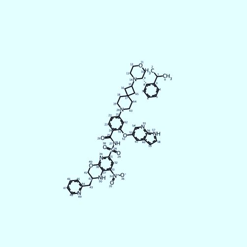 CC(C)c1ccccc1[C@H]1COCCN1C1CC2(CCN(c3ccc(C(=O)NS(=O)(=O)c4cc([N+](=O)[O-])c5c(n4)OC[C@H](Cc4ccccn4)N5)c(Oc4cnc5[nH]ccc5c4)c3)CC2)C1